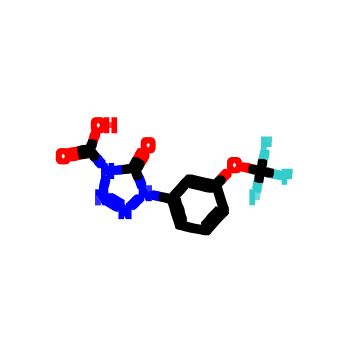 O=C(O)n1nnn(-c2cccc(OC(F)(F)F)c2)c1=O